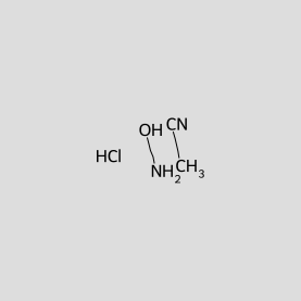 CC#N.Cl.NO